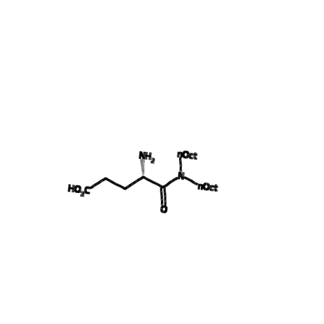 CCCCCCCCN(CCCCCCCC)C(=O)[C@@H](N)CCC(=O)O